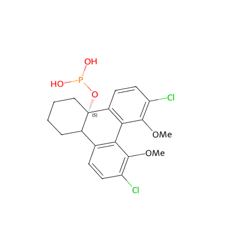 COc1c(Cl)ccc2c1-c1c(ccc(Cl)c1OC)[C@]1(OP(O)O)CCCCC21